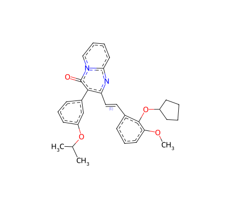 COc1cccc(/C=C/c2nc3ccccn3c(=O)c2-c2cccc(OC(C)C)c2)c1OC1CCCC1